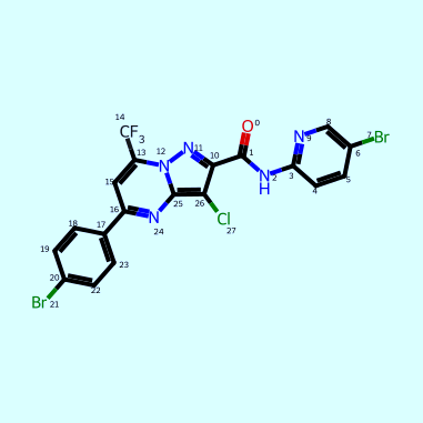 O=C(Nc1ccc(Br)cn1)c1nn2c(C(F)(F)F)cc(-c3ccc(Br)cc3)nc2c1Cl